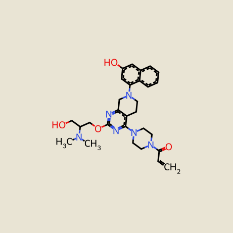 C=CC(=O)N1CCN(c2nc(OCC(CO)N(C)C)nc3c2CCN(c2cc(O)cc4ccccc24)C3)CC1